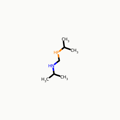 CC(C)NCPC(C)C